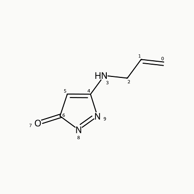 C=CCNC1=CC(=O)N=N1